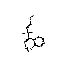 C/C=C(\c1ccccc1N)C(C)(C)C=COC